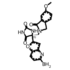 Bc1ccc2oc([C@]3(CN4Cc5ccc(OC)cc5C4=O)NC(=O)NC3=O)cc2n1